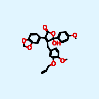 C=CCOc1cc(CC2=C(c3ccc4c(c3)OCO4)C(=O)OC2(O)c2ccc(OC)cc2)ccc1OC